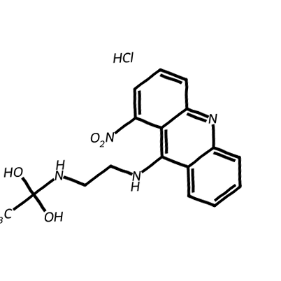 CC(O)(O)NCCNc1c2ccccc2nc2cccc([N+](=O)[O-])c12.Cl